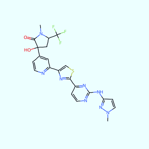 CN1C(=O)C(O)(c2ccnc(-c3csc(-c4ccnc(Nc5ccn(C)n5)n4)n3)c2)CC1C(F)(F)F